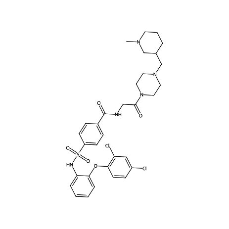 CN1CCCC(CN2CCN(C(=O)CNC(=O)c3ccc(S(=O)(=O)Nc4ccccc4Oc4ccc(Cl)cc4Cl)cc3)CC2)C1